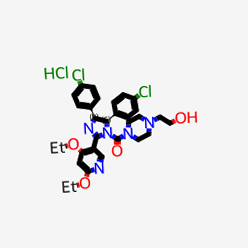 CCOc1cc(OCC)c(C2=N[C@H](c3ccc(Cl)cc3)[C@H](c3ccc(Cl)cc3)N2C(=O)N2CCN(CCO)CC2)cn1.Cl